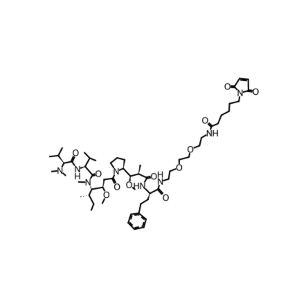 CC[C@H](C)[C@@H]([C@@H](CC(=O)N1CCC[C@H]1[C@H](OC)[C@@H](C)C(=O)N[C@H](CCc1ccccc1)C(=O)NCCOCCOCCNC(=O)CCCCCN1C(=O)C=CC1=O)OC)N(C)C(=O)[C@@H](NC(=O)[C@H](C(C)C)N(C)C)C(C)C